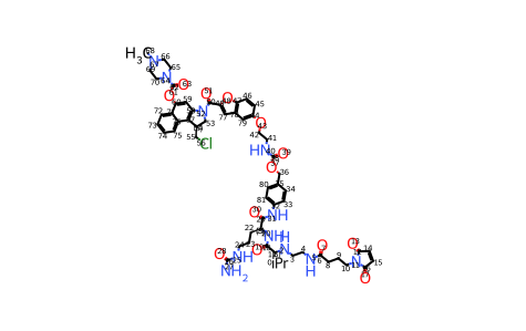 CC(C)[C@H](NCCNC(=O)CCCN1C(=O)C=CC1=O)C(=O)N[C@@H](CCCNC(N)=O)C(=O)Nc1ccc(COC(=O)NCCOc2ccc3oc(C(=O)N4C[C@@H](CCl)c5c4cc(OC(=O)N4CCN(C)CC4)c4ccccc54)cc3c2)cc1